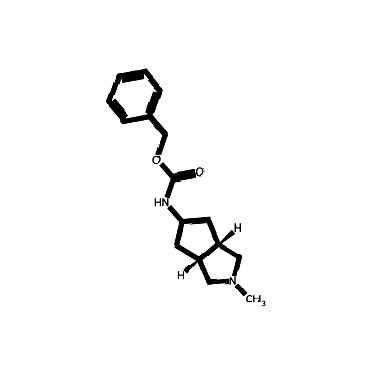 CN1C[C@H]2CC(NC(=O)OCc3ccccc3)C[C@H]2C1